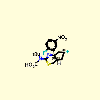 CC(C)(C)N(C(=O)O)C1=N[C@@]2(c3cc([N+](=O)[O-])ccc3F)C[C@H](F)C[C@H]2CS1